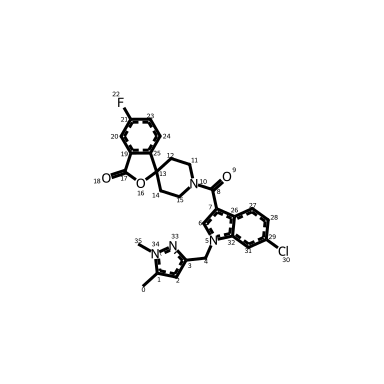 Cc1cc(Cn2cc(C(=O)N3CCC4(CC3)OC(=O)c3cc(F)ccc34)c3ccc(Cl)cc32)nn1C